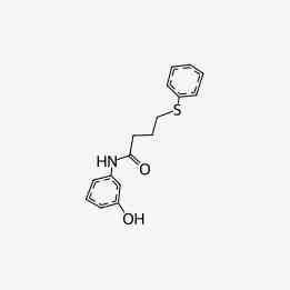 O=C(CCCSc1ccccc1)Nc1cccc(O)c1